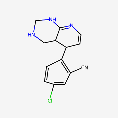 N#Cc1cc(Cl)ccc1C1C=CN=C2NCNCC21